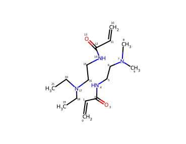 C=CC(=O)NCCN(C)C.C=CC(=O)NCCN(CC)CC